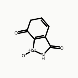 O=C1CC=CC2=C1[SH+]([O-])NC2=O